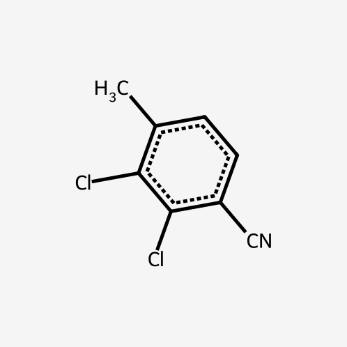 Cc1ccc(C#N)c(Cl)c1Cl